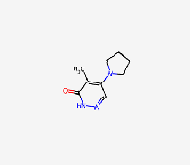 Cc1c(N2CCCC2)cn[nH]c1=O